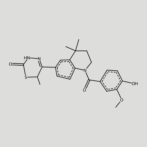 COc1cc(C(=O)N2CCC(C)(C)c3cc(C4=NNC(=O)SC4C)ccc32)ccc1O